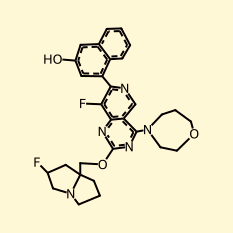 Oc1cc(-c2ncc3c(N4CCCOCC4)nc(OCC45CCCN4CC(F)C5)nc3c2F)c2ccccc2c1